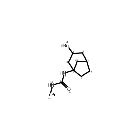 CCCCC1CC2CCC(NC(=O)NCCC)(C1)C2